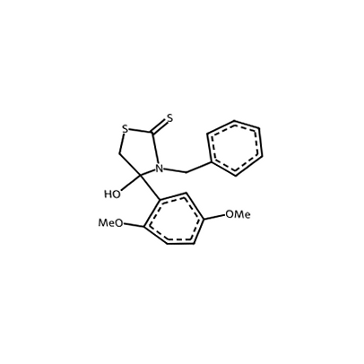 COc1ccc(OC)c(C2(O)CSC(=S)N2Cc2ccccc2)c1